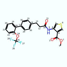 COC(=O)c1cscc1NC(=O)CCc1ccc(-c2ccccc2OC(F)(F)F)cc1